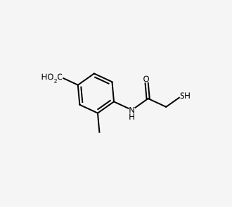 Cc1cc(C(=O)O)ccc1NC(=O)CS